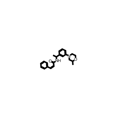 CC1CN(c2cccc(C(C)NC(=O)/C=C\c3ccccc3)c2)CCO1